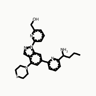 CCCC(N)c1cccc(-c2cc(N3CCSCC3)c3cnn(-c4cccc(CO)n4)c3c2)n1